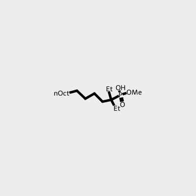 CCCCCCCCCCCCC(CC)(CC)P(=O)(O)OC